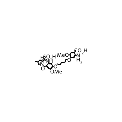 COc1cc(C(=O)O)c(N)cc1OCCCCCOc1cc2c(cc1OC)C(=O)N1CC(C)C[C@H]1C(S(=O)(=O)O)N2